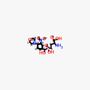 NC(CCP(=O)(O)C(O)c1ccc(N2CCOCC2)c([N+](=O)[O-])c1)C(=O)O